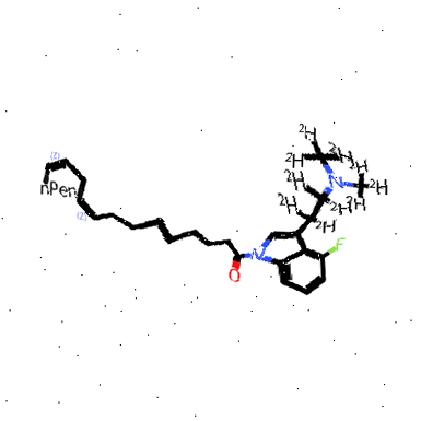 [2H]C([2H])([2H])N(C([2H])([2H])[2H])C([2H])([2H])C([2H])([2H])c1cn(C(=O)CCCCCCC/C=C\C/C=C\CCCCC)c2cccc(F)c12